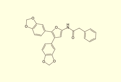 O=C(Cc1ccccc1)Nc1cc(-c2ccc3c(c2)OCO3)c(-c2ccc3c(c2)OCO3)o1